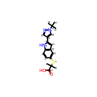 CC(C)(Sc1ccc2[nH]c(-c3cnn(C(C)(C)C)c3)cc2c1)C(=O)O